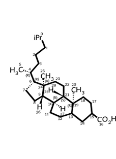 CC(C)CCC[C@@H](C)[C@H]1CC[C@H]2[C@@H]3CCC4CC(C(=O)O)CC[C@]4(C)[C@H]3CC[C@]12C